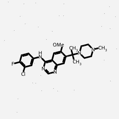 COc1cc2c(Nc3ccc(F)c(Cl)c3)ncnc2cc1C(C)(C)N1CCN(C)CC1